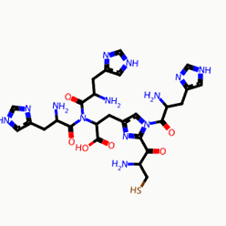 NC(CS)C(=O)c1nc(CC(C(=O)O)N(C(=O)C(N)Cc2c[nH]cn2)C(=O)C(N)Cc2c[nH]cn2)cn1C(=O)C(N)Cc1c[nH]cn1